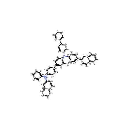 c1ccc(-c2ccc(N3c4ccc(-c5ccc(N(c6ccccc6)c6ccc7ccccc7c6)cc5)cc4Cc4cc(-c5ccc6ccccc6c5)ccc43)cc2)cc1